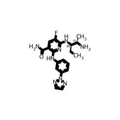 CC[C@@H](Nc1nc(Nc2cccc(-n3nccn3)c2)c(C(N)=O)cc1F)[C@H](C)N